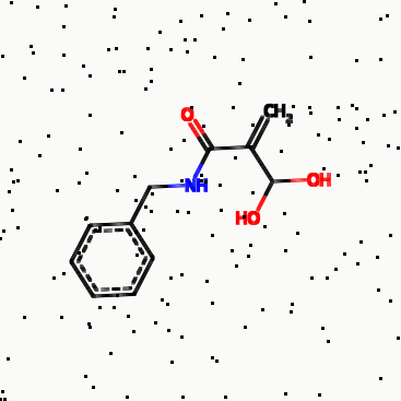 C=C(C(=O)NCc1ccccc1)C(O)O